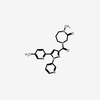 Cc1ccc(-c2cc(C(=O)N3CCCN(C)C(=O)C3)nn2-c2cccnc2)nc1